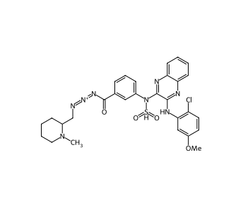 COc1ccc(Cl)c(Nc2nc3ccccc3nc2N(c2cccc(C(=O)N=[N+]=NCC3CCCCN3C)c2)[SH](=O)=O)c1